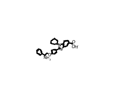 N[C@H](COc1ccc(-c2nc3cc(C(=O)O)ccc3n2C2CCCCC2)cc1)c1ccccc1